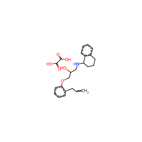 C=CCc1ccccc1OCC(O)CNC1CCCc2ccccc21.O=C(O)C(=O)O